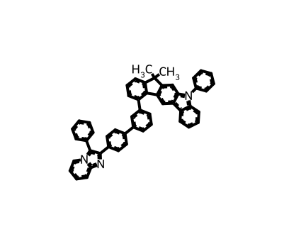 CC1(C)c2cc3c(cc2-c2c(-c4cccc(-c5ccc(-c6nc7ccccn7c6-c6ccccc6)cc5)c4)cccc21)c1ccccc1n3-c1ccccc1